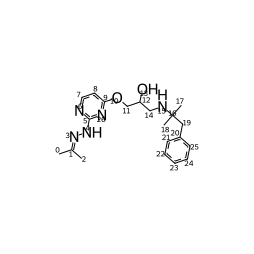 CC(C)=NNc1nccc(OCC(O)CNC(C)(C)Cc2ccccc2)n1